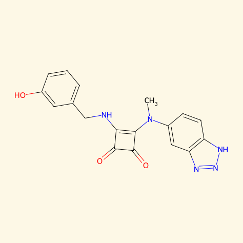 CN(c1ccc2[nH]nnc2c1)c1c(NCc2cccc(O)c2)c(=O)c1=O